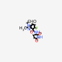 Cc1nc2c(C(=O)NC3CCC(=O)NC3=O)c(F)ccc2n1CC=O